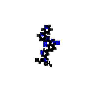 CN(C)Cc1cncc(-c2ccc3[nH]nc(-c4nc5c(-c6cccnc6)nccc5[nH]4)c3c2)c1